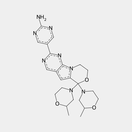 CC1CN(C2(N3CCOC(C)C3)OCCn3c2cc2cnc(-c4cnc(N)nc4)nc23)CCO1